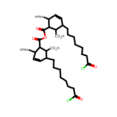 CCCCCCC1C=CC(CCCCCCCC(=O)Cl)C(C(=O)O)C1C(=O)OC(=O)C1C(CCCCCC)C=CC(CCCCCCCC(=O)Cl)C1C(=O)O